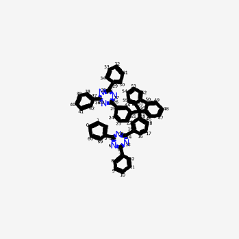 c1ccc(-c2nc(-c3ccccc3)nc(-c3cccc(C4(c5cccc(-c6nc(-c7ccccc7)nc(-c7ccccc7)n6)c5)c5ccccc5-c5ccccc54)c3)n2)cc1